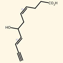 C#C/C=C/C(O)C/C=C\CCC(=O)O